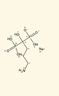 NCCCC(O)(P(=O)([O-])O)P(=O)(O)O.[Na+]